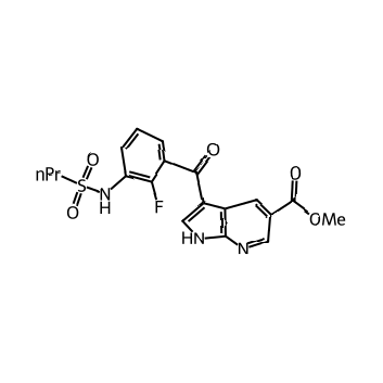 CCCS(=O)(=O)Nc1cccc(C(=O)c2c[nH]c3ncc(C(=O)OC)cc23)c1F